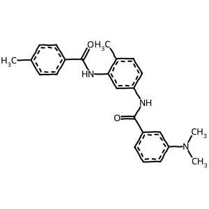 Cc1ccc(C(=O)Nc2cc(NC(=O)c3cccc(N(C)C)c3)ccc2C)cc1